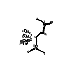 CN(C)CCN(C)C.[CH3-].[CH3-].[Pd+2]